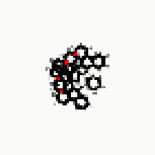 OC(c1cc2ccccc2c2ccccc12)(c1cc2ccccc2c2ccccc12)C1OC2(CCCCC2)OC1C(O)(c1cc2ccccc2c2ccccc12)c1cc2ccccc2c2ccccc12